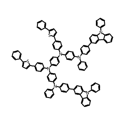 c1ccc(-c2ccc(-c3ccc(N(c4ccc(N(c5ccccc5)c5ccc(-c6ccc7c(c6)c6ccccc6n7-c6ccccc6)cc5)cc4)c4ccc(N(c5ccc(-c6ccc(-c7ccccc7)s6)cc5)c5ccc(N(c6ccccc6)c6ccc(-c7ccc8c(c7)c7ccccc7n8-c7ccccc7)cc6)cc5)cc4)cc3)s2)cc1